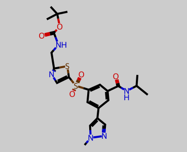 CC(C)NC(=O)c1cc(-c2cnn(C)c2)cc(S(=O)(=O)c2cnc(CNC(=O)OC(C)(C)C)s2)c1